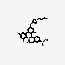 C[C@@H]1Cc2cc(B(O)O)ccc2C(c2c(F)cc(NC3CN(CCCF)C3)cc2F)N1c1ccc(F)cc1F